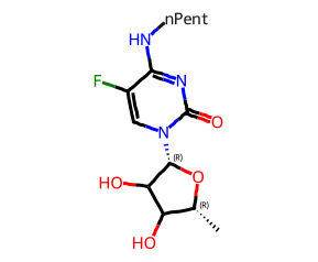 CCCCCNc1nc(=O)n([C@@H]2O[C@H](C)C(O)C2O)cc1F